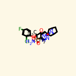 CC(C)(Oc1ccc(F)cc1Cl)C(=O)NC1CC2CCC(C1)N2c1ccc(S(N)(=O)=O)cn1